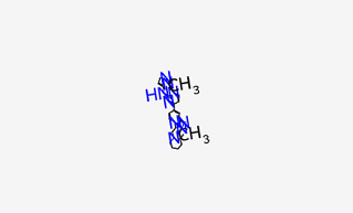 CC1CCCCN1Cc1nnc2cc(-c3ccnc(Nc4ccnn4C)n3)ccn12